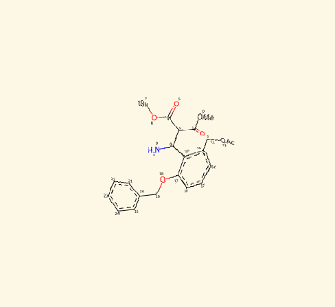 COC(=O)C(C(=O)OC(C)(C)C)C(N)c1c(COC(C)=O)cccc1OCc1ccccc1